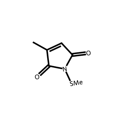 CSN1C(=O)C=C(C)C1=O